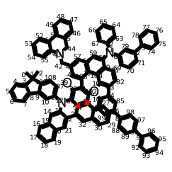 CC1(C)c2ccccc2-c2cc(N(c3cc4ccccc4cc3-c3ccc4ccccc4c3)c3cccc4c3oc3c(CN5Cc6ccccc6-c6ccccc65)cc5cc(N(c6ccccc6)c6cccc(-c7ccccc7)c6)c6ccc7c8cc(-c9ccc(-c%10ccccc%10)cc9)ccc8oc7c6c5c34)ccc21